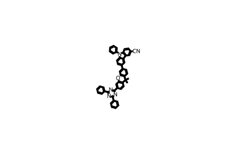 CC1(C)c2ccc(-c3ccc4c(c3)c3cc(C#N)ccc3n4-c3ccccc3)cc2Oc2cc(-c3nc(-c4ccccc4)nc(-c4ccccc4)n3)ccc21